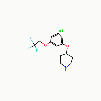 Cl.FC(F)(F)COc1cccc(OC2CCNCC2)c1